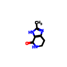 Cc1nc2c([nH]1)C(=O)NCC2